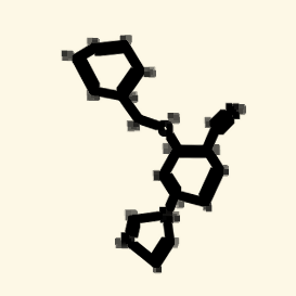 N#Cc1ccc(-n2ccnc2)cc1OCc1ccccc1